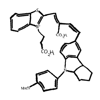 CSc1ccc(N2c3ccc(/C=C\C(=C\c4sc5ccccc5[n+]4CCC(=O)O)C(=O)O)cc3C3CCCC32)cc1